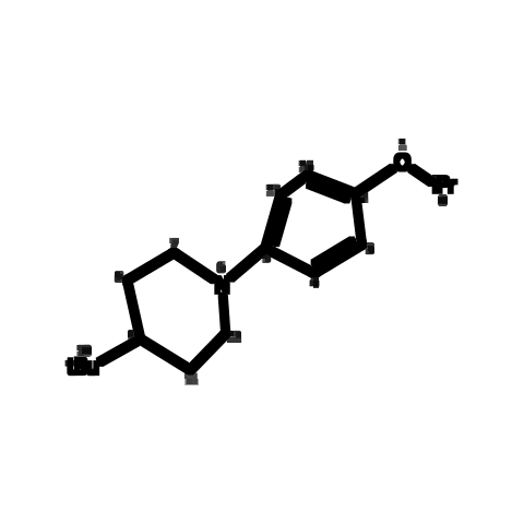 CC(C)Oc1ccc(N2CCC(C(C)(C)C)CC2)cc1